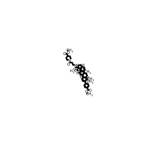 C=C(C)[C@@]1(C(=O)NCCC(=O)N2CCC(C(=O)OC)CC2)CC[C@@H]2CC[C@]3(C)[C@H](CC[C@@H]4[C@@]5(C)CC=C(c6ccc(C(=O)OC)cc6)C(C)(C)[C@@H]5CC[C@]43C)[C@@H]21